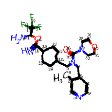 CC1C=NC=CC1CN(CC1CCC(C(=N)OC(N)C(F)(F)F)CC1)C(=O)N1CCOCC1